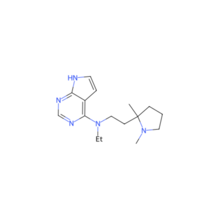 CCN(CCC1(C)CCCN1C)c1ncnc2[nH]ccc12